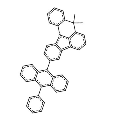 CC1(C)c2ccccc2-n2c3ccc(-c4c5ccccc5c(-c5ccccc5)c5ccccc45)cc3c3cccc1c32